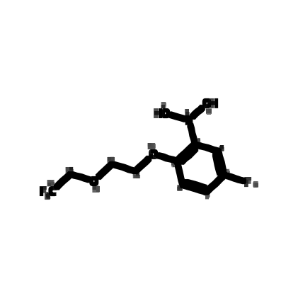 OB(O)c1cc(F)ccc1OCCOCC(F)(F)F